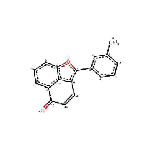 Cc1cccc(-c2oc3cccc4c3c2C=CC4=O)c1